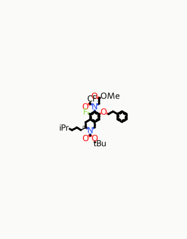 COC(=O)CN(C(=O)C(F)(F)F)c1c(OCCc2ccccc2)cc2c(c1F)C[C@H](CCCC(C)C)N(C(=O)OC(C)(C)C)C2